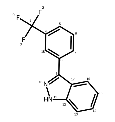 FC(F)(F)c1cccc(-c2n[nH]c3ccccc23)c1